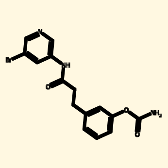 NC(=O)Oc1cccc(CCC(=O)Nc2cncc(Br)c2)c1